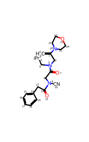 C=C(CN(CC(C)C)C(=O)CN(C#N)C(=O)Cc1ccccc1)N1CCOCC1